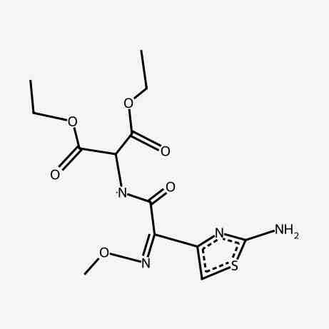 CCOC(=O)C([N]C(=O)C(=NOC)c1csc(N)n1)C(=O)OCC